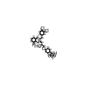 CS(=O)(=O)Nc1ccc(OCC(O)CN(CCc2ccc(Cl)c(Cl)c2)Cc2c(F)cccc2F)cc1